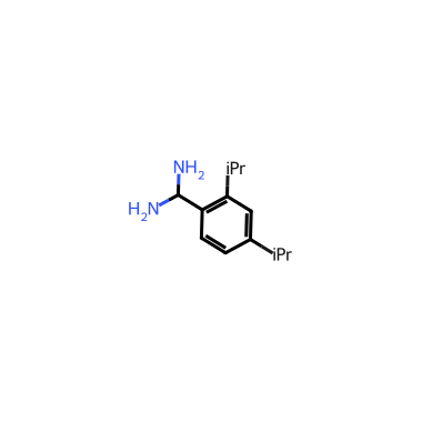 CC(C)c1ccc(C(N)N)c(C(C)C)c1